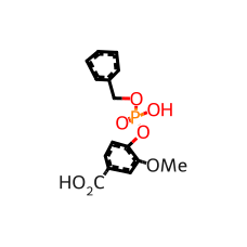 COc1cc(C(=O)O)ccc1OP(=O)(O)OCc1ccccc1